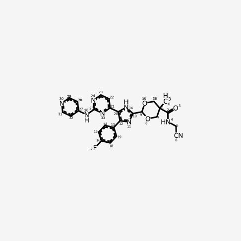 CC1(C(=O)NCC#N)COC(c2nc(-c3ccc(F)cc3)c(-c3ccnc(Nc4ccncc4)n3)[nH]2)OC1